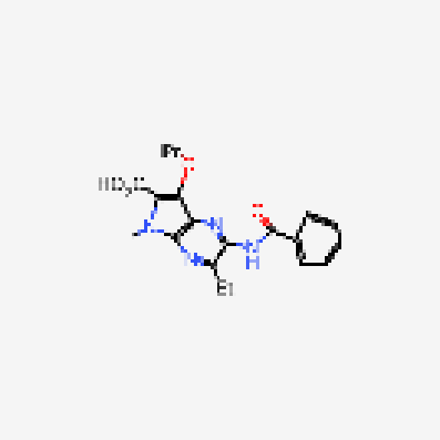 CCc1nc2c(nc1NC(=O)c1ccccc1)c(OC(C)C)c(C(=O)O)n2C